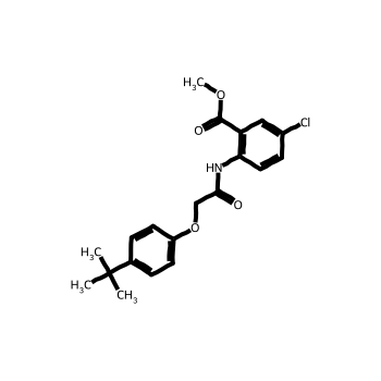 COC(=O)c1cc(Cl)ccc1NC(=O)COc1ccc(C(C)(C)C)cc1